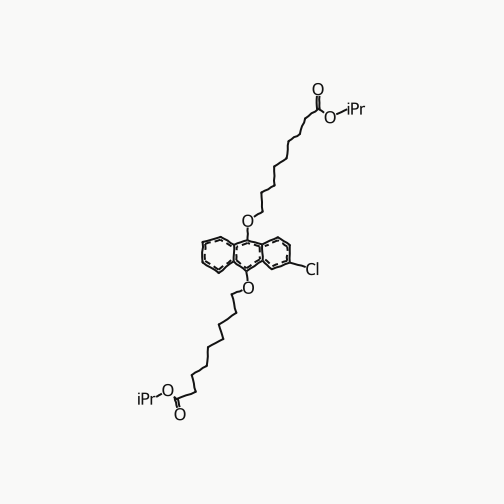 CC(C)OC(=O)CCCCCCCCOc1c2ccccc2c(OCCCCCCCCC(=O)OC(C)C)c2cc(Cl)ccc12